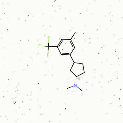 Cc1cc(C2CC[C@H](N(C)C)C2)cc(C(F)(F)F)c1